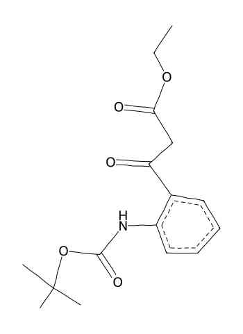 CCOC(=O)CC(=O)c1ccccc1NC(=O)OC(C)(C)C